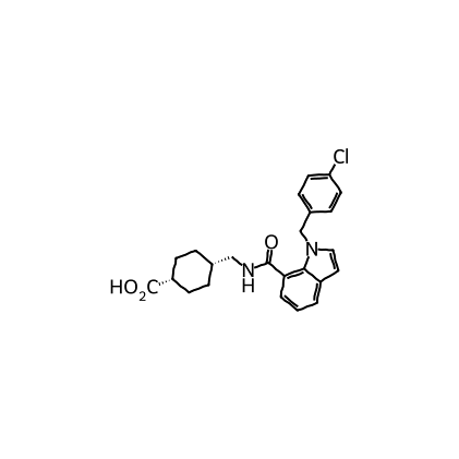 O=C(NC[C@H]1CC[C@@H](C(=O)O)CC1)c1cccc2ccn(Cc3ccc(Cl)cc3)c12